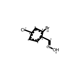 ON=Cc1ccc(Cl)cc1Br